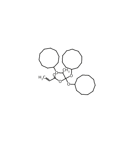 C=CC(=O)OC(OC1CCCCCCCCC1)(OC1CCCCCCCCC1)C(C)OC1CCCCCCCCC1